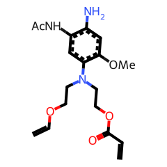 C=COCCN(CCOC(=O)C=C)c1cc(NC(C)=O)c(N)cc1OC